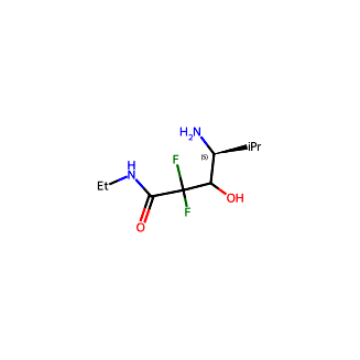 CCNC(=O)C(F)(F)C(O)[C@@H](N)C(C)C